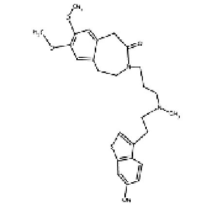 COc1cc2c(cc1OC)CC(=O)N(CCCN(C)CCc1csc3cc(O)ccc13)CC2